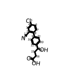 N#Cc1cc(Cl)ccc1-c1ccc(C(O)CCC(=O)O)cc1